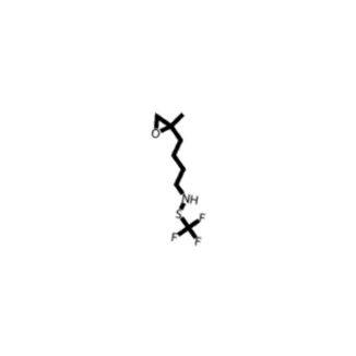 CC1(CCCCNSC(F)(F)F)CO1